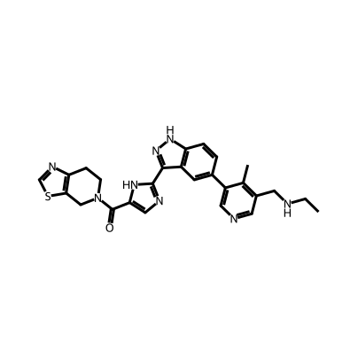 CCNCc1cncc(-c2ccc3[nH]nc(-c4ncc(C(=O)N5CCc6ncsc6C5)[nH]4)c3c2)c1C